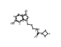 O=C(NCCCn1cc(Cl)c2cnc(Cl)nc21)C1CCC1